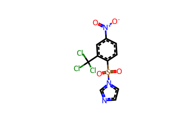 O=[N+]([O-])c1ccc(S(=O)(=O)n2ccnc2)c(C(Cl)(Cl)Cl)c1